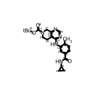 Cc1ccc(C(=O)NC2CC2)cc1Nc1ncnc2c1CCN(C(=O)OC(C)(C)C)C2